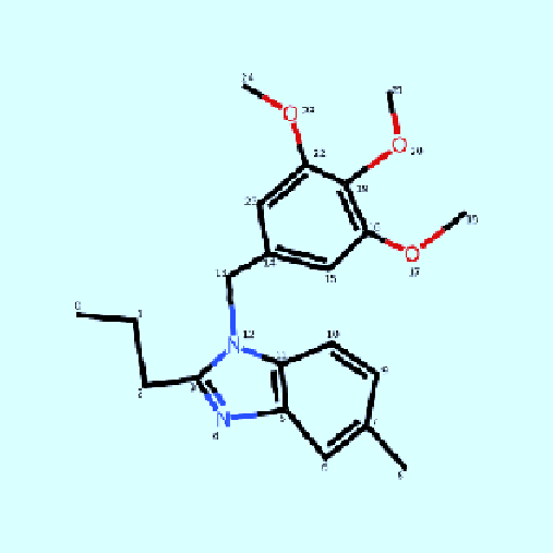 CCCc1nc2cc(C)ccc2n1Cc1cc(OC)c(OC)c(OC)c1